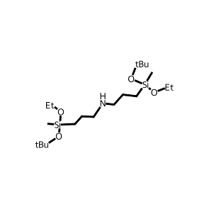 CCO[Si](C)(CCCNCCC[Si](C)(OCC)OC(C)(C)C)OC(C)(C)C